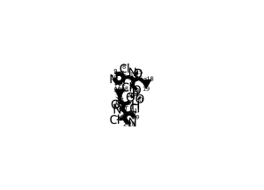 O=[PH](OCc1c(-c2c(Cl)cncc2Cl)noc1C1CC1)OCc1c(-c2c(Cl)cncc2Cl)noc1C1CC1